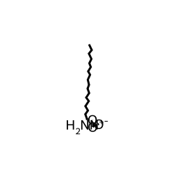 CCCCCCCCCCCCCCCCCC(N)O[N+](=O)[O-]